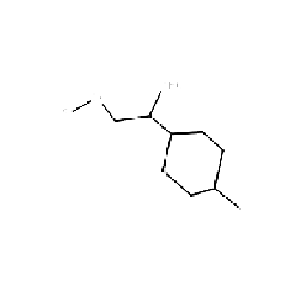 CCCCC(CO[SiH3])C1CCC(C)CC1